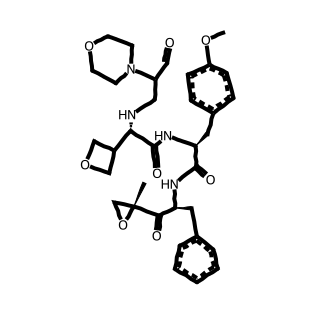 COc1ccc(C[C@H](NC(=O)[C@@H](NCC(C=O)N2CCOCC2)C2COC2)C(=O)N[C@@H](Cc2ccccc2)C(=O)[C@@]2(C)CO2)cc1